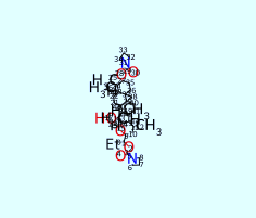 CC[C@@H](OC(=O)N1CCC1)[C@H]1C[C@@H](C)[C@H]2[C@H](O1)[C@H](O)[C@@]1(C)[C@@H]3CC[C@H]4C(C)(C)[C@@H](OC(=O)N5CCC5)CCC45C[C@@]35CC[C@]21C